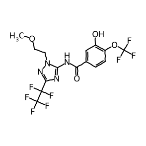 COCCn1nc(C(F)(F)C(F)(F)F)nc1NC(=O)c1ccc(OC(F)(F)F)c(O)c1